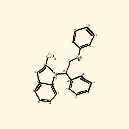 Cc1cc2ccccc2n1C(C[Se]c1ccccc1)c1ccccc1